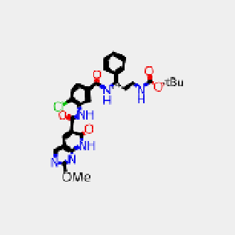 COc1ncc2cc(C(=O)Nc3cc(C(=O)N[C@@H](CCNC(=O)OC(C)(C)C)c4ccccc4)ccc3Cl)c(=O)[nH]c2n1